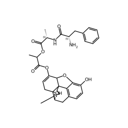 CC(OC(=O)[C@H](C)NC(=O)[C@@H](N)Cc1ccccc1)C(=O)OC1=CCC2(O)C3Cc4ccc(O)c5c4C2(CCN3C)C1O5